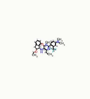 CCO[C@H]1Cc2ccccc2[C@H]1Nc1c(CC)nc(-c2ccc(N(C)C)cc2C(F)(F)F)n(C)c1=O